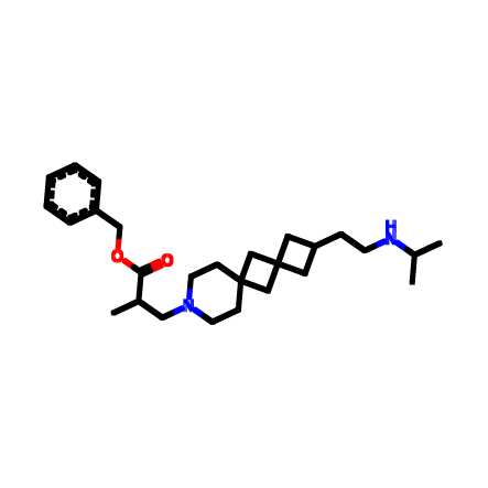 CC(C)NCCC1CC2(C1)CC1(CCN(CC(C)C(=O)OCc3ccccc3)CC1)C2